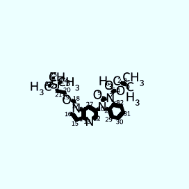 CC(C)(C)OC(=O)n1c(=O)n(-c2cnc3ccn(COCC[Si](C)(C)C)c3c2)c2ccccc21